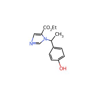 CCOC(=O)c1cncn1C(C)c1ccc(O)cc1